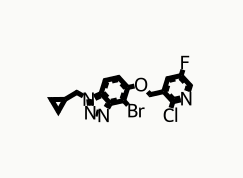 Fc1cnc(Cl)c(COc2ccc3c(nnn3CC3CC3)c2Br)c1